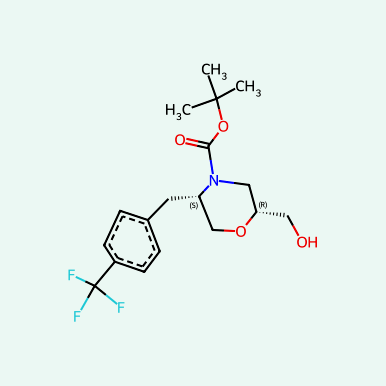 CC(C)(C)OC(=O)N1C[C@H](CO)OC[C@@H]1Cc1ccc(C(F)(F)F)cc1